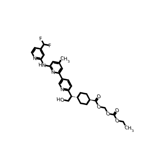 CCOC(=O)OCOC(=O)[C@H]1CC[C@H](C(CO)c2ccc(-c3cc(C)cc(Nc4cc(C(F)F)ccn4)n3)cn2)CC1